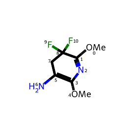 COC1=NC(OC)=C(N)CC1(F)F